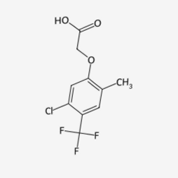 Cc1cc(C(F)(F)F)c(Cl)cc1OCC(=O)O